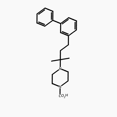 CC(C)(CCc1cccc(-c2ccccc2)c1)N1CCN(C(=O)O)CC1